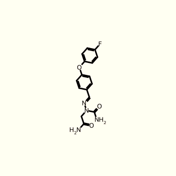 NC(=O)CN(N=Cc1ccc(Oc2ccc(F)cc2)cc1)C(N)=O